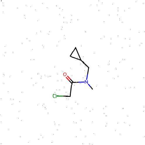 CN(CC1CC1)C(=O)CCl